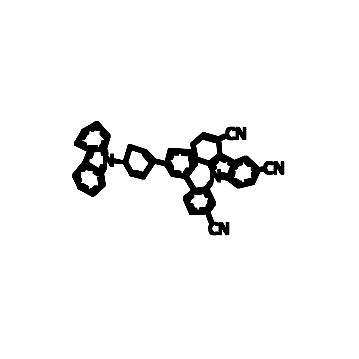 N#CC1=CCCc2c1c1cc(C#N)ccc1n2-c1cc(C#N)ccc1-c1cccc(C2=CC[C@H](n3c4ccccc4c4ccccc43)C=C2)c1